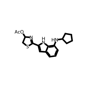 CC(=O)OC1CSC(c2cc3cccc(NC4CCCC4)c3[nH]2)=N1